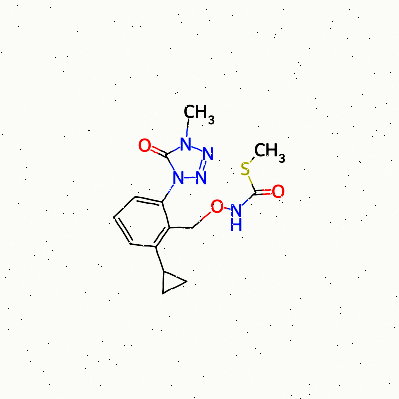 CSC(=O)NOCc1c(C2CC2)cccc1-n1nnn(C)c1=O